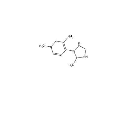 CC1NCNN1C1=C(N)CN(C)C=C1